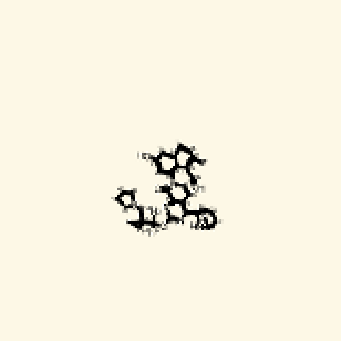 [2H]C([2H])(Oc1nc(N2CC3CCC2CN3)c2ccn(-c3cc(O)cc4ccc(F)c(C#C)c34)c(=O)c2n1)C1(CN2CCCC2)CC1